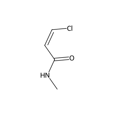 CNC(=O)/C=C\Cl